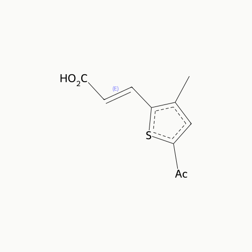 CC(=O)c1cc(C)c(/C=C/C(=O)O)s1